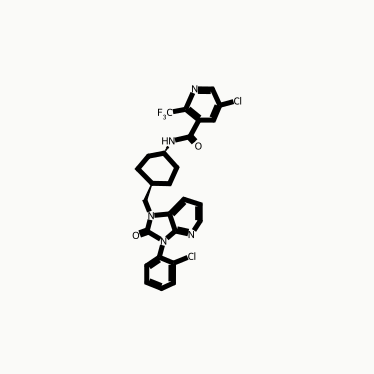 O=C(N[C@H]1CC[C@H](Cn2c(=O)n(-c3ccccc3Cl)c3ncccc32)CC1)c1cc(Cl)cnc1C(F)(F)F